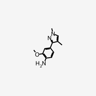 COc1cc(-c2nn(C)cc2C)ccc1N